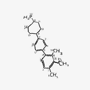 Cc1ccc(-c2ccc(C3CCC(P)CC3)cc2)c(C)c1C